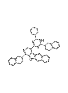 c1ccc(C2N=C(c3cnc(-c4ccc5ccccc5c4)c4oc5cc6ccccc6cc5c34)N=C(c3ccc4ccccc4c3)N2)cc1